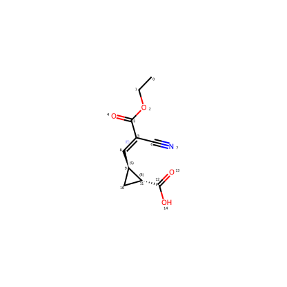 CCOC(=O)/C(C#N)=C/[C@@H]1C[C@H]1C(=O)O